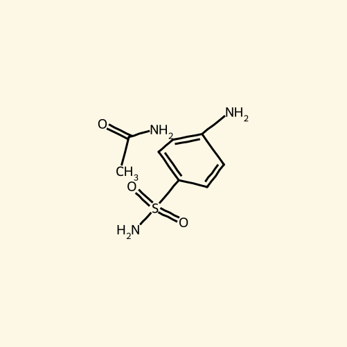 CC(N)=O.Nc1ccc(S(N)(=O)=O)cc1